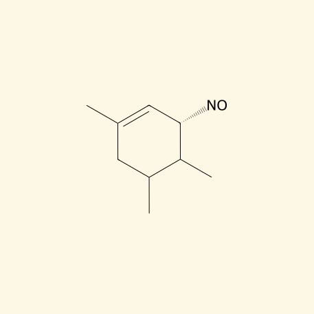 CC1=C[C@H](N=O)C(C)C(C)C1